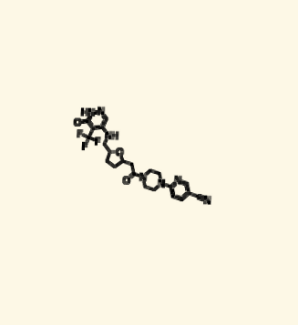 N#Cc1ccc(N2CCN(C(=O)CC3CCC(CNc4cn[nH]c(=O)c4C(F)(F)F)O3)CC2)nc1